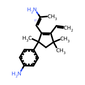 C=CC1=C(/C=C(\C)N)C(C)(c2ccc(N)cc2)CC1(C)C